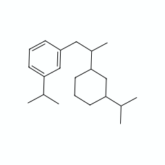 CC(C)c1cccc(CC(C)C2CCCC(C(C)C)C2)c1